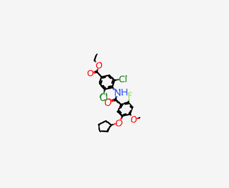 CCOC(=O)c1cc(Cl)c(NC(=O)c2cc(OC3CCCC3)c(OC)cc2F)c(Cl)c1